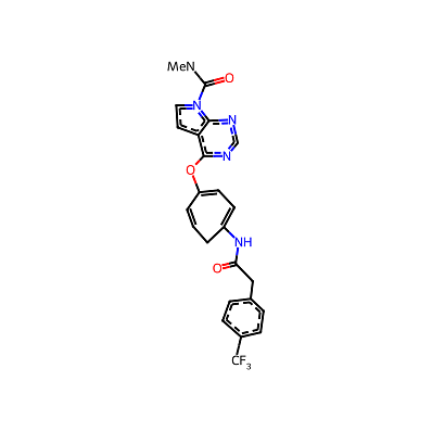 CNC(=O)n1ccc2c(OC3=CC=C(NC(=O)Cc4ccc(C(F)(F)F)cc4)CC=C3)ncnc21